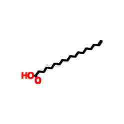 C=CCCCCCCCCCCCCCCCC(=O)O